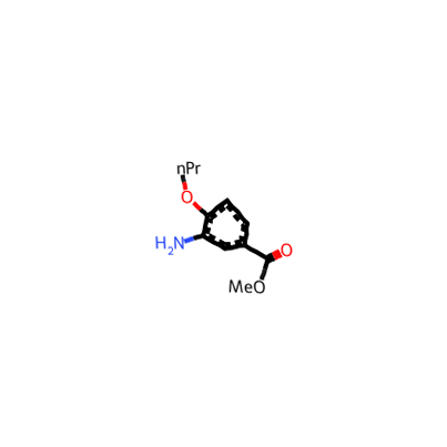 CCCOc1ccc(C(=O)OC)cc1N